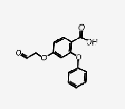 O=CCOc1ccc(C(=O)O)c(Oc2ccccc2)c1